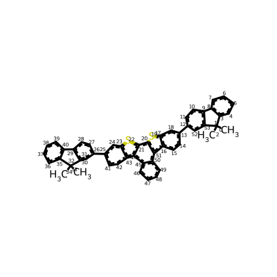 CC1(C)c2ccccc2-c2ccc(-c3ccc4c(c3)sc3c5sc6cc(-c7ccc8c(c7)C(C)(C)c7ccccc7-8)ccc6c5c5ccccc5c43)cc21